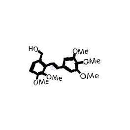 COc1cc(/C=C/c2c(CO)ccc(OC)c2OC)cc(OC)c1OC